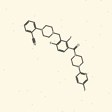 N#Cc1ccccc1N1CCN(Cc2c(F)ccc(C(=O)N3CCN(c4ccc(F)cn4)CC3)c2F)CC1